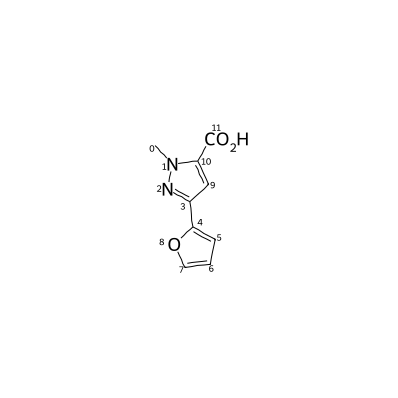 Cn1nc(-c2ccco2)cc1C(=O)O